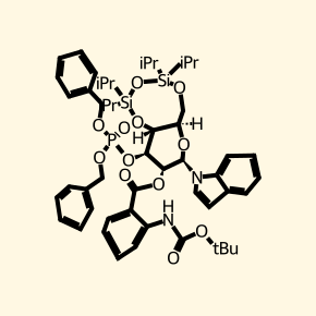 CC(C)[Si]1(C(C)C)OC[C@H]2O[C@@H](n3ccc4ccccc43)[C@H](OC(=O)c3ccccc3NC(=O)OC(C)(C)C)[C@@H](OP(=O)(OCc3ccccc3)OCc3ccccc3)[C@@H]2O[Si](C(C)C)(C(C)C)O1